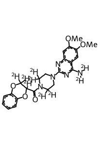 [2H]N([2H])c1nc(N2CC([2H])([2H])N(C(=O)C3([2H])Oc4ccccc4OC3([2H])[2H])C([2H])([2H])C2)nc2cc(OC)c(OC)cc12